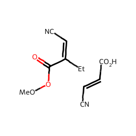 CCC(=CC#N)C(=O)OOC.N#CC=CC(=O)O